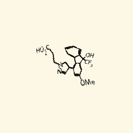 COc1cc(-c2cnn(CCC(=O)O)c2)c2c(c1)C(O)(C(F)(F)F)c1ccccc1-2